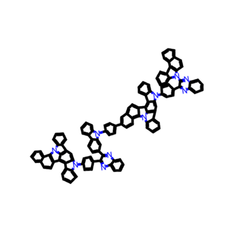 c1ccc2c(c1)ccc1c2c2ccccc2n1-c1nc2ccccc2nc1-c1ccc(-n2c3ccccc3c3c4c5ccc6cc(-c7ccc(-n8c9ccccc9c9ccc(-c%10nc%11ccccc%11nc%10-c%10ccc(-n%11c%12ccccc%12c%12c%13c%14ccc%15ccccc%15c%14n%14c%15ccccc%15c(cc%12%11)c%13%14)cc%10)cc98)cc7)ccc6c5n5c6ccccc6c(cc32)c45)cc1